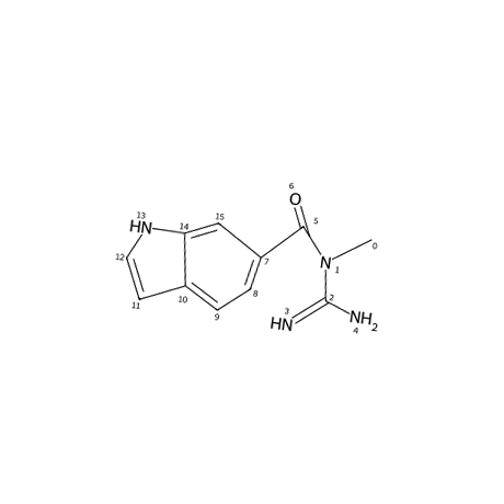 CN(C(=N)N)C(=O)c1ccc2cc[nH]c2c1